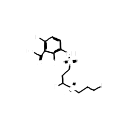 O=C(O)c1c(F)ccc(NS(=O)(=O)CCC(F)S(=O)(=O)CCCF)c1Cl